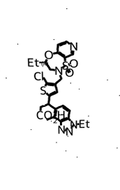 CC[C@@H]1CN(Cc2cc(C(CC(=O)O)c3ccc4c(nnn4CC)c3C)sc2Cl)S(=O)(=O)c2cnccc2O1